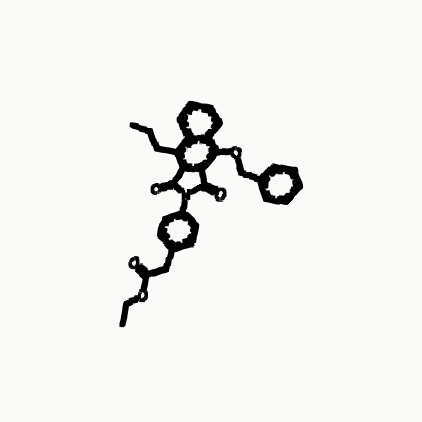 CCCc1c2c(c(OCc3ccccc3)c3ccccc13)C(=O)N(c1ccc(CC(=O)OCC)cc1)C2=O